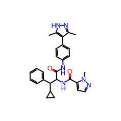 Cc1n[nH]c(C)c1-c1ccc(NC(=O)C(NC(=O)c2ccnn2C)C(c2ccccc2)C2CC2)cc1